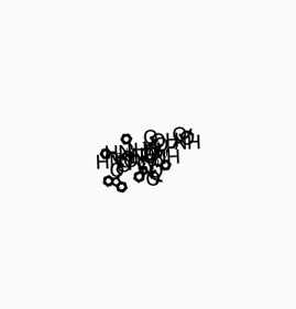 CC(C)[C@H](NC(=O)[C@H](CCCCNC(=O)OC(C)(C)C)NC(=O)[C@H](Cc1ccccc1)NC(=O)[C@H](Cc1cn(C(=O)OC(C)(C)C)c2ccccc12)NC(=O)[C@H](Cc1ccccc1)NC(=O)[C@H](Cc1ccccc1)NC(=O)OCC1c2ccccc2-c2ccccc21)C(=O)O